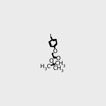 CC(C)(C)OC(=O)COc1ccc(I)cc1